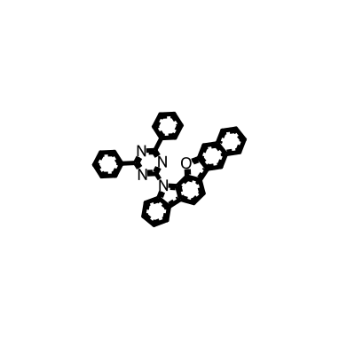 c1ccc(-c2nc(-c3ccccc3)nc(-n3c4ccccc4c4ccc5c6cc7ccccc7cc6oc5c43)n2)cc1